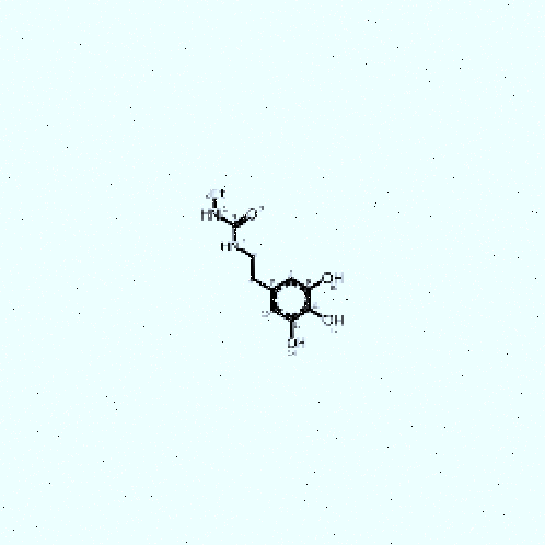 CCNC(=O)NCCc1cc(O)c(O)c(O)c1